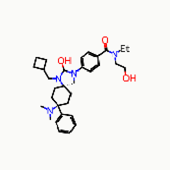 CCN(CCO)C(=O)c1ccc(N2C[C@]3(CC[C@](c4ccccc4)(N(C)C)CC3)N(CC3CCC3)C2O)cc1